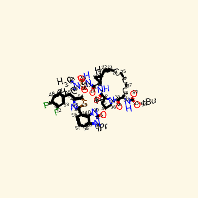 CC(C)n1c(O[C@@H]2C[C@H]3C(=O)N[C@]4(C(=O)NS(=O)(=O)N(C)C)C[C@H]4/C=C\CCCCC[C@H](NC(=O)OC(C)(C)C)C(=O)N3C2)nc2c(-c3nc(Cc4ccc(F)c(F)c4)cs3)cccc21